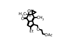 CCC1=C(COCCOC(C)=O)C2=C(C)C3(CC3)[C@@](C)(O)C(=O)C2=C1